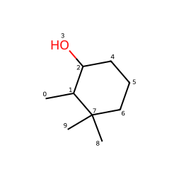 CC1C(O)CCCC1(C)C